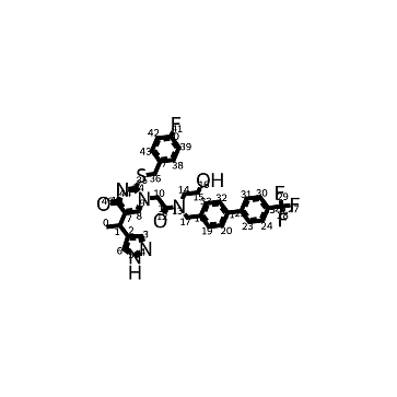 CC(c1cn[nH]c1)c1cn(CC(=O)N(CCO)Cc2ccc(-c3ccc(C(F)(F)F)cc3)cc2)c(SCc2ccc(F)cc2)nc1=O